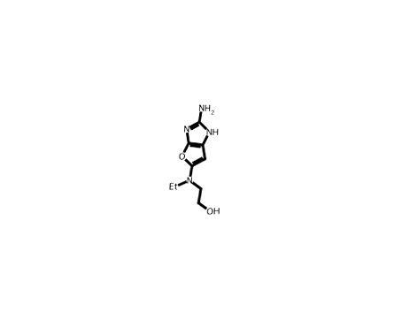 CCN(CCO)c1cc2[nH]c(N)nc2o1